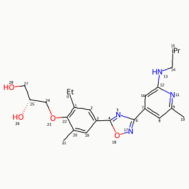 CCc1cc(-c2nc(-c3cc(C)nc(NCC(C)C)c3)no2)cc(C)c1OC[C@H](O)CO